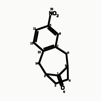 O=C1C2CCC1Cc1cc([N+](=O)[O-])ccc1C2